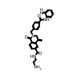 C=C1CN(Cc2ccc(C(=O)Nc3ccccc3N)cc2)C(=O)c2ccc(C(=O)NCCN)cc21